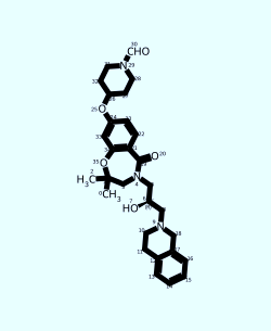 CC1(C)CN(C[C@H](O)CN2CCc3ccccc3C2)C(=O)c2ccc(OC3CCN(C=O)CC3)cc2O1